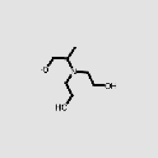 C[C](C[O])N(CCO)CCO